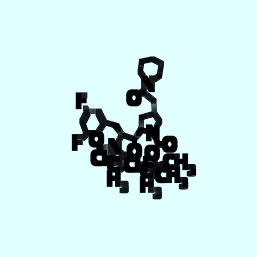 CC(=O)N1[C@@H](Cc2cc(F)cc(F)c2)[C@@H](C2CC(CC(=O)N3CCCCC3)CN2C(=O)OC(C)(C)C)OC1(C)C